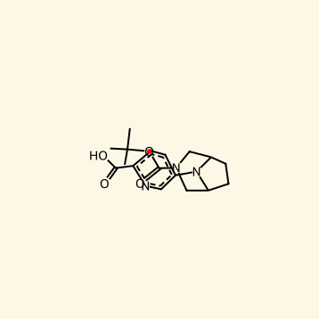 CC(C)(C)OC(=O)N1CC2CCC(C1)N2c1ccc(C(=O)O)nc1